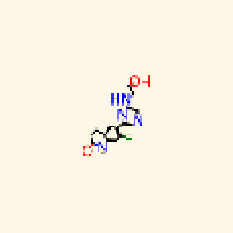 CN1C(=O)CCc2cc(-c3cncc(NCCO)n3)c(F)cc21